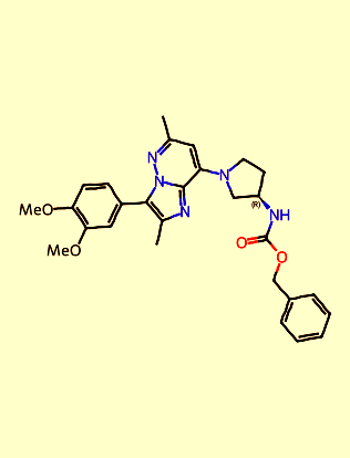 COc1ccc(-c2c(C)nc3c(N4CC[C@@H](NC(=O)OCc5ccccc5)C4)cc(C)nn23)cc1OC